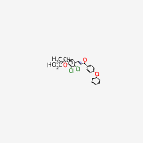 CC(C)(Oc1ccc(/C=C/C(=O)c2ccc(Oc3ccccc3)cc2)c(Cl)c1Cl)C(=O)O